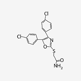 NC(=O)CSc1nc(-c2ccc(Cl)cc2)c(-c2ccc(Cl)cc2)o1